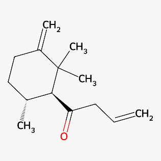 C=CCC(=O)[C@H]1[C@H](C)CCC(=C)C1(C)C